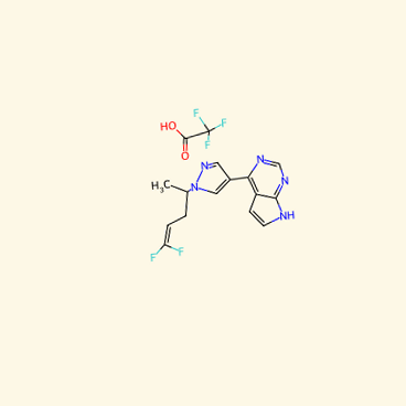 CC(CC=C(F)F)n1cc(-c2ncnc3[nH]ccc23)cn1.O=C(O)C(F)(F)F